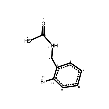 O=C(S)NCc1ccccc1Br